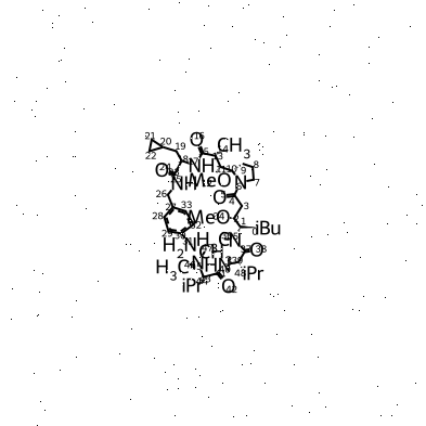 CC[C@H](C)[C@@H]([C@@H](CC(=O)N1CCC[C@H]1[C@H](OC)[C@@H](C)C(=O)NC(CC1CC1)C(=O)NCc1ccc(N)cc1)OC)N(C)C(=O)[C@@H](NC(=O)[C@H](C(C)C)N(C)C)C(C)C